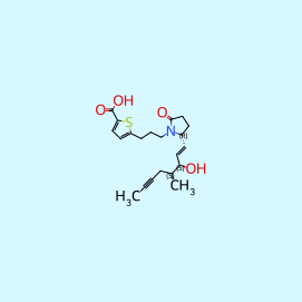 CC#CC[C@H](C)[C@H](O)C=C[C@H]1CCC(=O)N1CCCc1ccc(C(=O)O)s1